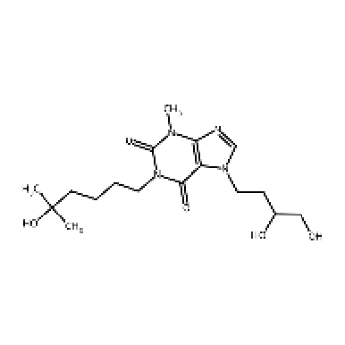 Cn1c(=O)n(CCCCC(C)(C)O)c(=O)c2c1ncn2CCC(O)CO